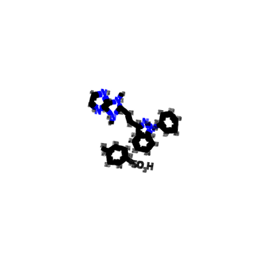 CN1c2nccnc2N(C)C1C=Cc1nn(-c2ccccc2)c2ccccc12.Cc1ccc(S(=O)(=O)O)cc1